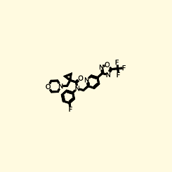 O=C(N(Cc1ccc(-c2noc(C(F)(F)F)n2)cn1)c1cccc(F)c1)C1(CN2CCOCC2)CC1